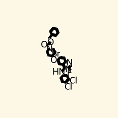 O=C(OCc1ccccc1)N1CCC(Oc2cc3c(Nc4ccc(Cl)c(Cl)c4F)ncnc3cc2Br)CC1